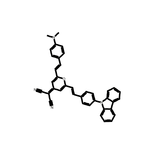 CN(C)c1ccc(C=CC2=CC(=C(C#N)C#N)C=C(C=Cc3ccc(-n4c5ccccc5c5ccccc54)cc3)O2)cc1